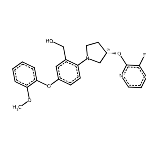 COc1ccccc1Oc1ccc(N2CC[C@H](Oc3ncccc3F)C2)c(CO)c1